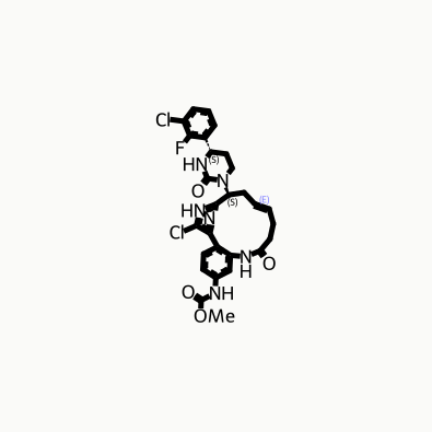 COC(=O)Nc1ccc2c(c1)NC(=O)CC/C=C/C[C@H](N1CC[C@@H](c3cccc(Cl)c3F)NC1=O)c1nc-2c(Cl)[nH]1